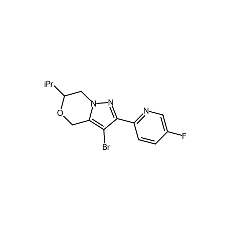 CC(C)C1Cn2nc(-c3ccc(F)cn3)c(Br)c2CO1